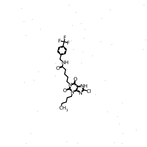 CCCCCn1c(=O)n(CCCCC(=O)NCc2ccc(C(F)(F)F)cc2)c(=O)c2[nH]c(Cl)nc21